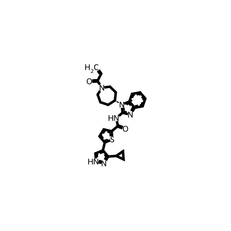 C=CC(=O)N1CCC[C@@H](n2c(NC(=O)c3ccc(-c4c[nH]nc4C4CC4)s3)nc3ccccc32)CC1